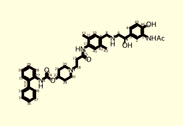 CC(=O)Nc1cc([C@@H](O)CNCc2cc(C)c(NC(=O)CCN3CCC(OC(=O)Nc4ccccc4-c4ccccc4)CC3)cc2C)ccc1O